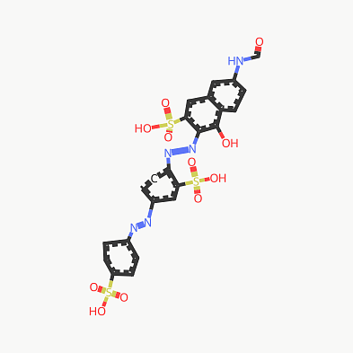 O=CNc1ccc2c(O)c(N=Nc3ccc(N=Nc4ccc(S(=O)(=O)O)cc4)cc3S(=O)(=O)O)c(S(=O)(=O)O)cc2c1